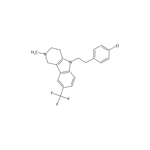 CN1CCc2c(c3cc(C(F)(F)F)ccc3n2CCc2ccc(Cl)cc2)C1